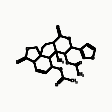 CC(=O)OC1C=CC2C(=O)OCC23CCC2C(=O)OC(c4ccoc4)C(OC(C)=O)C2(C)C13